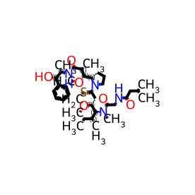 C=S=C(C[C@@H](OC)[C@H]([C@@H](C)CC)N(C)C(=O)CNC(=O)CC(C)C)N1CCC[C@H]1[C@H](OC)[C@@H](C)C(=O)N[C@H](C)[C@@H](O)c1ccccc1